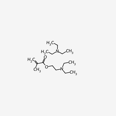 C=C(C)C(=O)OCCN(CC)CC.CCN(CC)CC